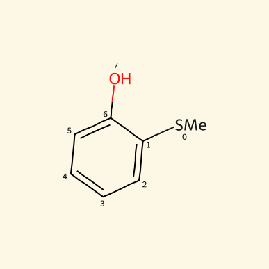 [CH2]Sc1ccccc1O